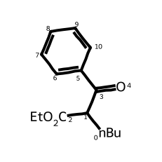 CCCCC(C(=O)OCC)C(=O)c1ccccc1